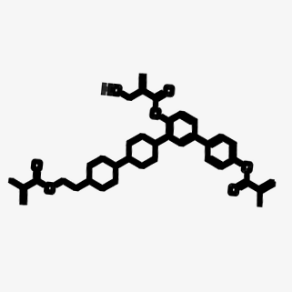 C=C(C)C(=O)OCCC1CCC(C2CCC(c3cc(-c4ccc(OC(=O)C(=C)C)cc4)ccc3OC(=O)C(=C)CO)CC2)CC1